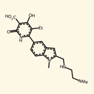 CCc1c(-c2ccc3c(c2)cc(CNCCNC)n3C)[nH]c(=O)c(C(=O)O)c1O